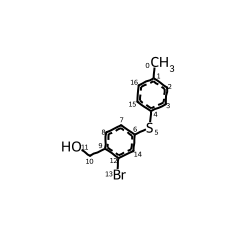 Cc1ccc(Sc2ccc(CO)c(Br)c2)cc1